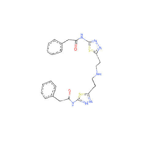 O=C(Cc1ccccc1)Nc1nnc(CCNCCc2nnc(NC(=O)Cc3ccccc3)s2)s1